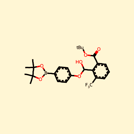 CC(C)(C)OC(=O)c1cccc(C(F)(F)F)c1C(O)Oc1ccc(B2OC(C)(C)C(C)(C)O2)cc1